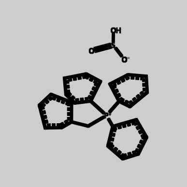 O=S([O-])O.c1ccc(C[P+](c2ccccc2)(c2ccccc2)c2ccccc2)cc1